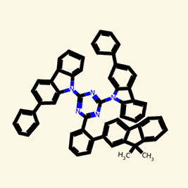 CC1(C)c2ccccc2-c2ccc(-c3ccccc3-c3nc(-n4c5ccccc5c5ccc(-c6ccccc6)cc54)nc(-n4c5ccccc5c5ccc(-c6ccccc6)cc54)n3)cc21